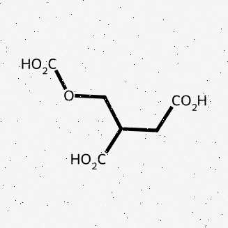 O=C(O)CC(COC(=O)O)C(=O)O